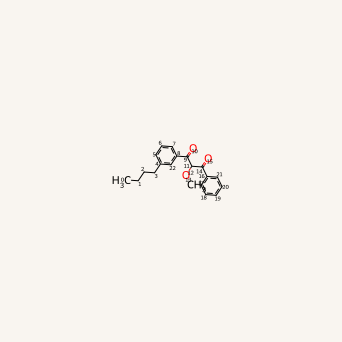 CCCCc1cccc(C(=O)C(OC)C(=O)c2ccccc2)c1